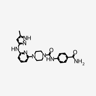 Cc1cc(Nc2cccc(N3CCN(C(=O)Nc4ccc(C(N)=O)cc4)CC3)n2)n[nH]1